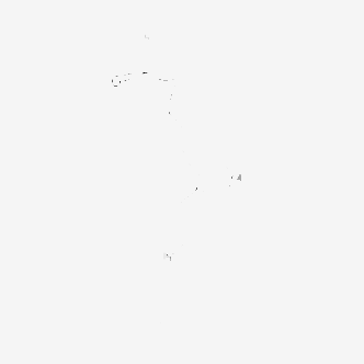 CCC(=O)NCCc1c[nH]c2ccc(COC(N)=O)cc12